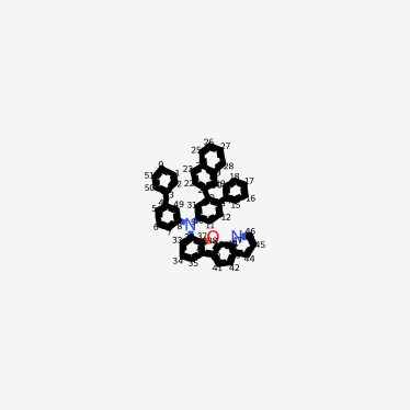 c1ccc(-c2cccc(N(c3ccc(-c4ccccc4)c(-c4ccc5ccccc5c4)c3)c3cccc4c3oc3c4ccc4cccnc43)c2)cc1